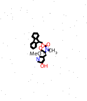 COC(=O)[C@H](Cc1cncc(O)c1)N(C)C(=O)OCC1c2ccccc2-c2ccccc21